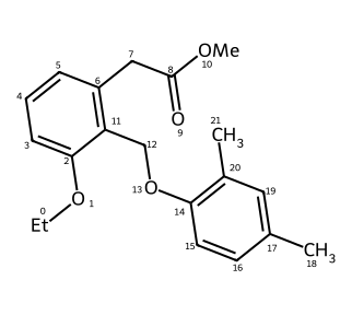 CCOc1cccc(CC(=O)OC)c1COc1ccc(C)cc1C